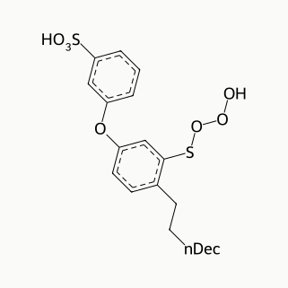 CCCCCCCCCCCCc1ccc(Oc2cccc(S(=O)(=O)O)c2)cc1SOOO